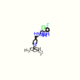 CC(C)(C)CCN1CCC2(CC1)CC2CNC(=N)/C=C\C(=N)c1cccc(F)c1Cl